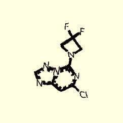 FC1(F)CN(c2nc(Cl)cc3ncnn23)C1